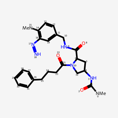 CNC(=O)NC1CC(C(=O)NCc2ccc(NC)c(N=N)c2)N(C(=O)CCCc2ccccc2)C1